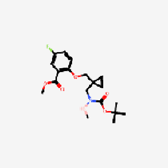 CBN(CC1(COc2ccc(F)cc2C(=O)OC)CC1)C(=O)OC(C)(C)C